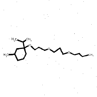 CCCCOCCCOCCCOC1(C(C)C)CCCC(C)C1